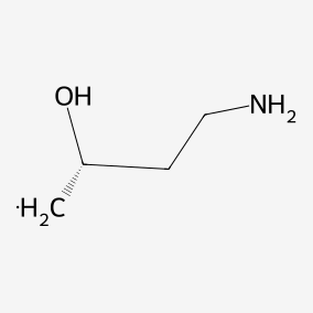 [CH2][C@H](O)CCN